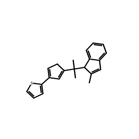 CC1=Cc2ccccc2C1C(C)(C)C1=CC(c2cccs2)=CC1